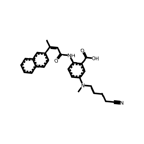 C/C(=C/C(=O)Nc1ccc(N(C)CCCCC#N)cc1C(=O)O)c1ccc2ccccc2c1